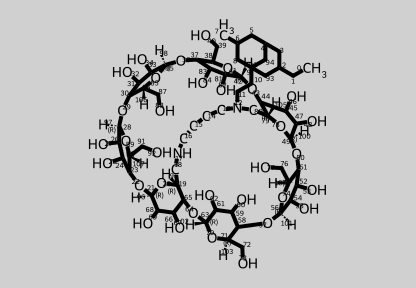 CCC1CC2CC(C)CC(CCN3CCCCNC[C@H]4O[C@@H]5OC6C(O)C(O)[C@@H](OC7C(O)C(O)[C@@H](OC8C(CO)O[C@H](OC9C(O)C(O)[C@@H](OC%10C(O)C(O)[C@@H](OC%11C(O)C(O)[C@@H](OC4C(O)C5O)O[C@@H]%11CO)O[C@@H]%10CO)O[C@@H]9C3)C(O)C8O)O[C@@H]7CO)O[C@@H]6CO)(C1)C2